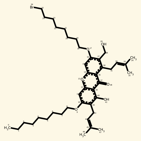 CCCCCCCCCOc1cc2oc3cc(OCCCCCCCCBr)c(CO)c(CC=C(C)C)c3c(=O)c2c(O)c1CC=C(C)C